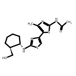 CC(=O)Nc1nc(C)c(-c2csc(N[C@H]3CCCC[C@@H]3CO)n2)s1